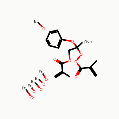 C=C(C)C(=O)OCC(CCCCCCCCC)(OOC(=O)C(=C)C)Oc1ccccc1.[CH2]C[O].[CH2]C[O].[CH2]C[O].[CH2]C[O].[CH2]C[O].[CH2]C[O]